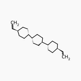 C=C[C@H]1CC[C@H]([C@H]2CC[C@H]([C@H]3CC[C@H](C=C)CC3)CC2)CC1